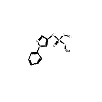 CCOP(=O)(Oc1cnn(-c2ccccc2)c1)SC(C)CC